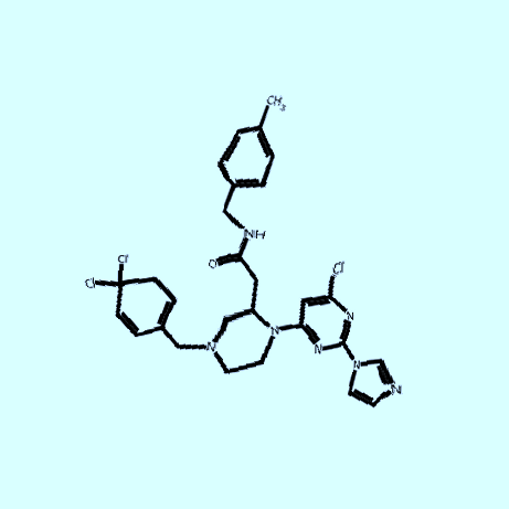 Cc1ccc(CNC(=O)CC2CN(CC3=CCC(Cl)(Cl)C=C3)CCN2c2cc(Cl)nc(-n3ccnc3)n2)cc1